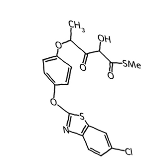 CSC(=O)C(O)C(=O)C(C)Oc1ccc(Oc2nc3ccc(Cl)cc3s2)cc1